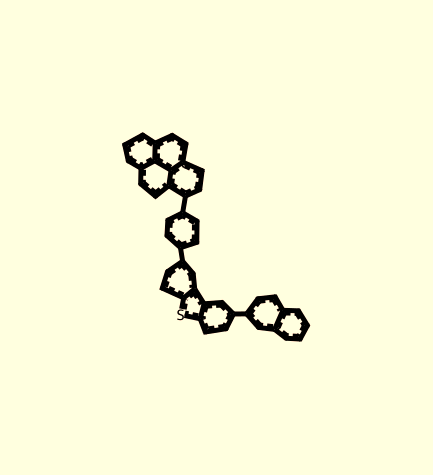 c1ccc2cc(-c3ccc4sc5ccc(-c6ccc(-c7ccc8ccc9cccc%10ccc7c8c9%10)cc6)cc5c4c3)ccc2c1